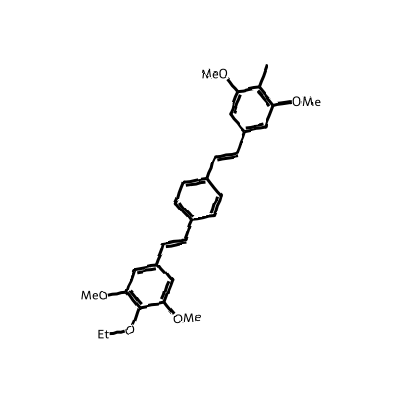 CCOc1c(OC)cc(C=Cc2ccc(C=Cc3cc(OC)c(C)c(OC)c3)cc2)cc1OC